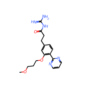 COCCCOc1cc(CCC(=O)NC(=N)N)ccc1-c1ncccn1